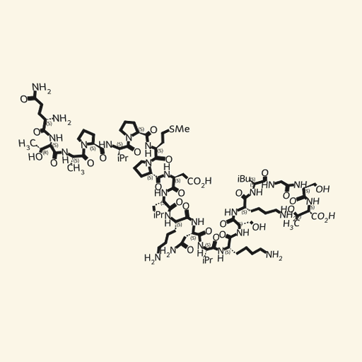 CC[C@H](C)[C@H](NC(=O)[C@H](CCCCN)NC(=O)[C@H](CO)NC(=O)[C@H](CCCCN)NC(=O)[C@@H](NC(=O)[C@H](CC(N)=O)NC(=O)[C@H](CCCCN)NC(=O)[C@H](CC(C)C)NC(=O)[C@H](CC(=O)O)NC(=O)[C@@H]1CCCN1C(=O)[C@H](CCSC)NC(=O)[C@@H]1CCCN1C(=O)[C@@H](NC(=O)[C@@H]1CCCN1C(=O)[C@H](C)NC(=O)[C@@H](NC(=O)[C@@H](N)CCC(N)=O)[C@@H](C)O)C(C)C)C(C)C)C(=O)NCC(=O)N[C@@H](CO)C(=O)N[C@H](C(=O)O)[C@@H](C)O